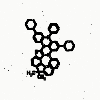 CC1(C)c2ccccc2-c2c1ccc1sc3c(c21)N(c1ccccc1)c1cc(C2CCCCC2)cc2c1B3c1ccc(C3CCCCC3)cc1N2C1=CC=C=C=C1